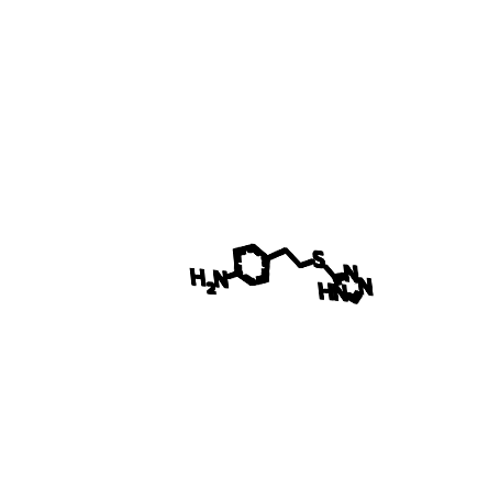 Nc1ccc(CCSc2nnc[nH]2)cc1